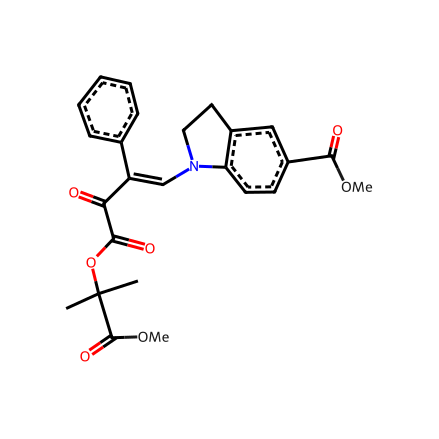 COC(=O)c1ccc2c(c1)CCN2/C=C(/C(=O)C(=O)OC(C)(C)C(=O)OC)c1ccccc1